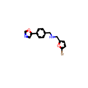 Brc1ccc(CNCc2ccc(-c3cnco3)cc2)o1